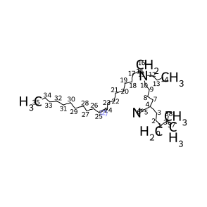 C=C(CCC(C#N)CCCCN(CCC)C(=C)CCCCCCC/C=C\CCCCCCCCCC)C(C)C